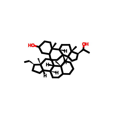 CC[C@H]1CC[C@H]2[C@@H]3CCC4CCCC([C@@]56CCC7CC(O)CC[C@]7(C)[C@H]5CC[C@]5(C)[C@@H](C(C)O)CC[C@H]56)[C@]4(C)[C@H]3CC[C@]12C